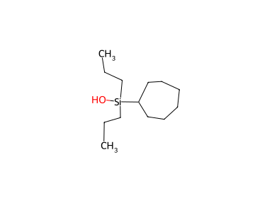 CCC[Si](O)(CCC)C1CCCCCC1